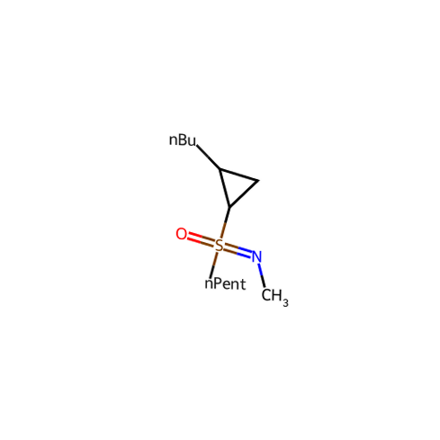 CCCCCS(=O)(=NC)C1CC1CCCC